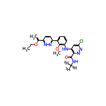 [2H]C([2H])([2H])NC(=O)c1nnc(Cl)cc1Nc1cccc(-c2ccc(C(=C)OCC)nn2)c1OC